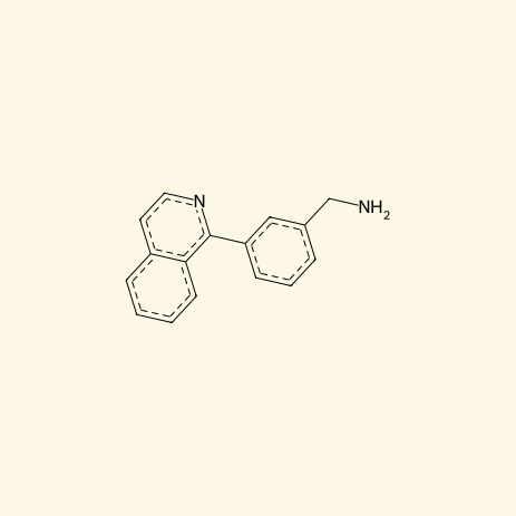 NCc1cccc(-c2nccc3ccccc23)c1